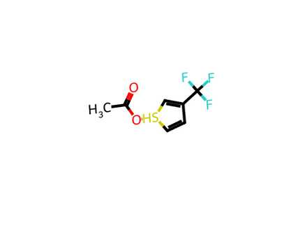 CC(=O)O[SH]1C=CC(C(F)(F)F)=C1